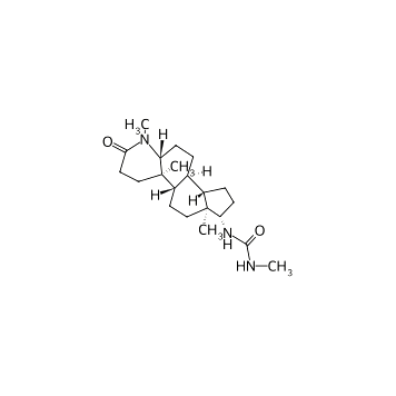 CNC(=O)N[C@H]1CC[C@H]2[C@@H]3CC[C@H]4N(C)C(=O)CC[C@]4(C)[C@H]3CC[C@]12C